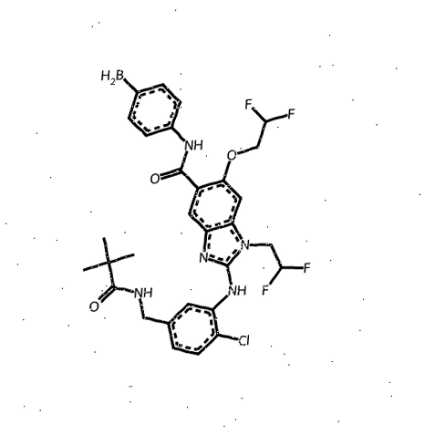 Bc1ccc(NC(=O)c2cc3nc(Nc4cc(CNC(=O)C(C)(C)C)ccc4Cl)n(CC(F)F)c3cc2OCC(F)F)cc1